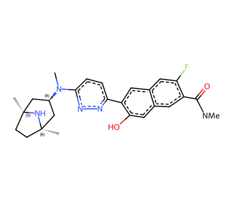 CNC(=O)c1cc2cc(O)c(-c3ccc(N(C)[C@@H]4C[C@]5(C)CC[C@](C)(C4)N5)nn3)cc2cc1F